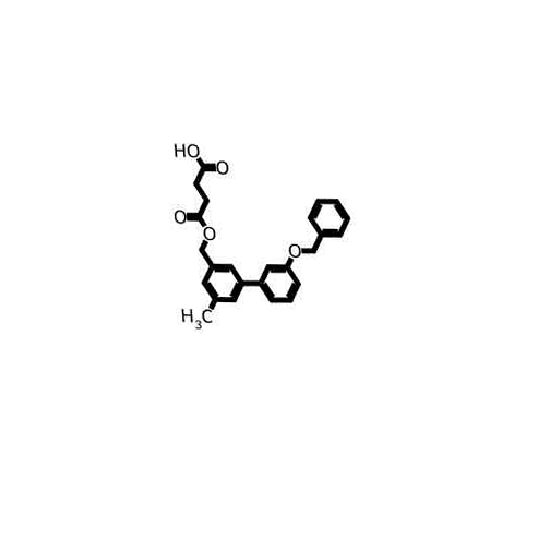 Cc1cc(COC(=O)CCC(=O)O)cc(-c2cccc(OCc3ccccc3)c2)c1